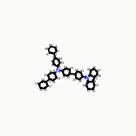 C1=CC(c2ccc(N(c3ccc(-c4ccccc4)cc3)c3ccc(-c4ccc(-n5c6ccccc6c6ccccc65)cc4)cc3)cc2)=CCC1